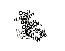 CC[C@H](C)[C@@H]([C@@H](CC(=O)N1CCC[C@H]1[C@H](OC)[C@@H](C)C(=O)N[C@@H](Cc1ccccc1)C(=O)O)OC)N(C)C(=O)[C@@H](NC(=O)[C@H](C(C)C)N(C)C(=O)OCc1ccc(NC(=O)O[C@H]2CCC[C@@H]2SSc2ccccn2)cc1)C(C)C